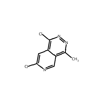 Cc1nnc(Cl)c2cc(Cl)ncc12